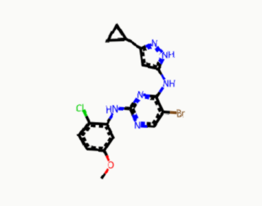 COc1ccc(Cl)c(Nc2ncc(Br)c(Nc3cc(C4CC4)n[nH]3)n2)c1